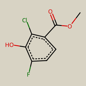 COC(=O)c1ccc(F)c(O)c1Cl